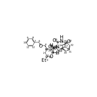 CC[C@H]1C[C@]2(COCc3ccccc3)O[C@@H](n3cc(C)c(=O)[nH]c3=O)[C@H](O1)[C@@H]2OCc1ccccc1